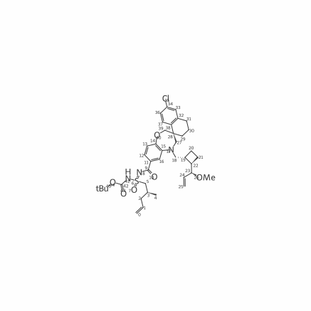 C=CC[C@H](C)CS(=O)(=NC(=O)c1ccc2c(c1)N(C[C@@H]1CC[C@H]1[C@H](C=C)OC)C[C@@]1(CCCc3cc(Cl)ccc31)CO2)NC(=O)OC(C)(C)C